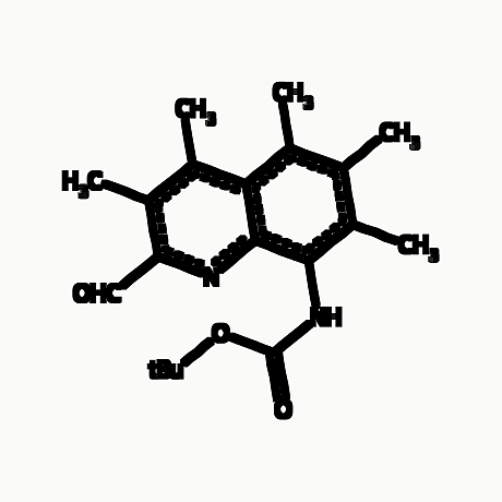 Cc1c(C)c(C)c2c(C)c(C)c(C=O)nc2c1NC(=O)OC(C)(C)C